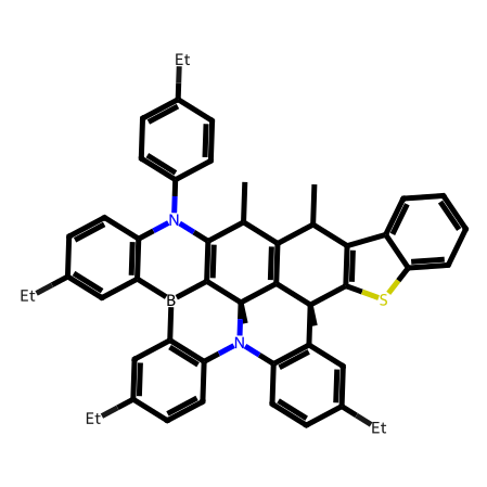 CCc1ccc(N2C3=C4B(c5cc(CC)ccc52)c2cc(CC)ccc2N2c5ccc(CC)cc5C5(C)C(=C(C3C)C(C)c3c5sc5ccccc35)C42C)cc1